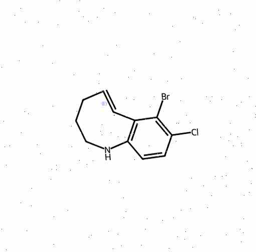 Clc1ccc2c(c1Br)/C=C/CCCN2